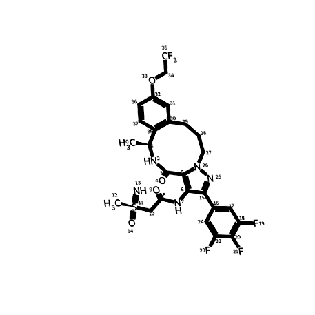 C[C@@H]1NC(=O)c2c(NC(=O)C[S@@](C)(=N)=O)c(-c3cc(F)c(F)c(F)c3)nn2CCCc2cc(OCC(F)(F)F)ccc21